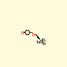 CC[Si](C#CCOCC1CCC(=O)CC1)(CC)CC